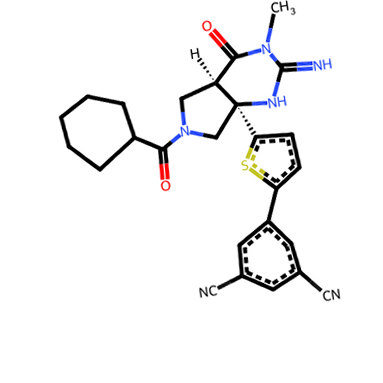 CN1C(=N)N[C@@]2(c3ccc(-c4cc(C#N)cc(C#N)c4)s3)CN(C(=O)C3CCCCC3)C[C@H]2C1=O